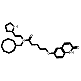 O=C(CCCCOc1ccc2[nH]c(=O)ccc2c1)N(CCC1CCCN1)CC1CCCCCCC1